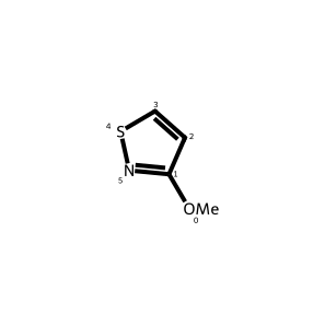 COc1[c]csn1